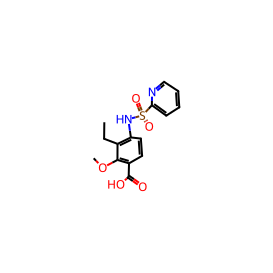 CCc1c(NS(=O)(=O)c2ccccn2)ccc(C(=O)O)c1OC